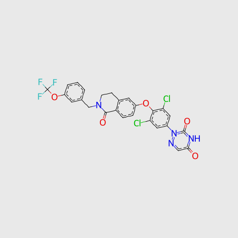 O=C1c2ccc(Oc3c(Cl)cc(-n4ncc(=O)[nH]c4=O)cc3Cl)cc2CCN1Cc1cccc(OC(F)(F)F)c1